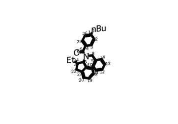 CCCCc1ccc(C(=O)N(Cc2ccccc2)C2c3ccccc3CC2CC)cc1